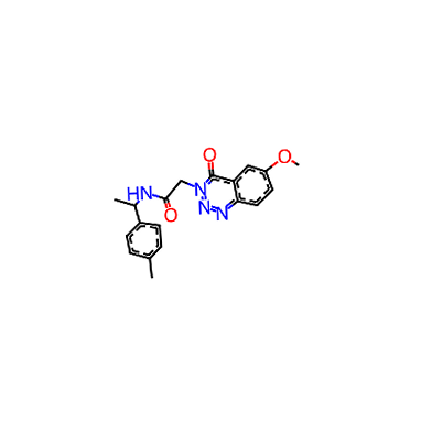 COc1ccc2nnn(CC(=O)NC(C)c3ccc(C)cc3)c(=O)c2c1